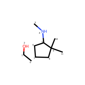 CCO.CNC1CCCC1(C)C